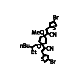 CCCCC(CC)COC1(/C(C#N)=C/c2cc(Br)cs2)C=CC(OC)(/C(C#N)=C/c2cc(Br)cs2)C=C1